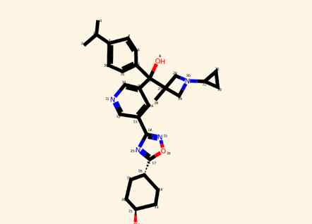 CC(C)c1ccc(C(O)(c2cncc(-c3noc([C@H]4CC[C@H](O)CC4)n3)c2)C2(C)CN(C3CC3)C2)cc1